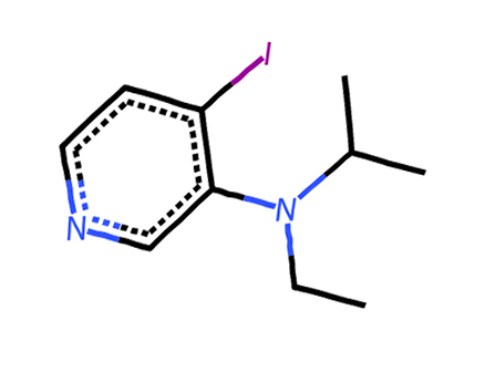 CCN(c1cnccc1I)C(C)C